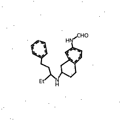 CCC(CCc1ccccc1)NC1CCc2ccc(NC=O)cc2C1